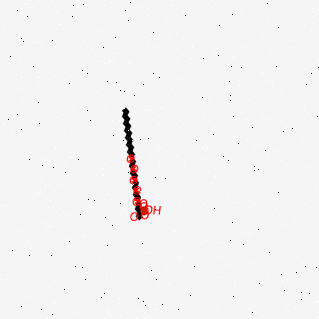 CCCCCCCCCCCCCCOCCOCCOCCOCCOC(=O)CC(C(C)=O)S(=O)(=O)O